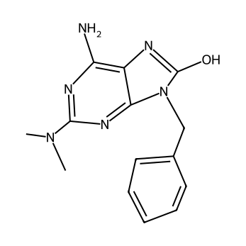 CN(C)c1nc(N)c2nc(O)n(Cc3ccccc3)c2n1